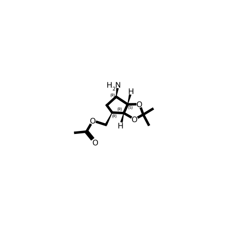 CC(=O)OC[C@H]1C[C@@H](N)[C@@H]2OC(C)(C)O[C@H]12